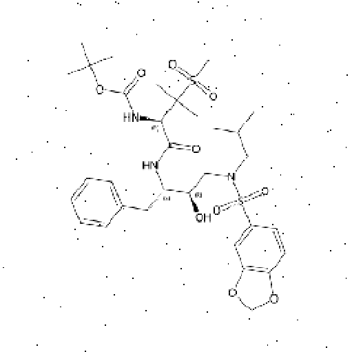 CC(C)CN(C[C@@H](O)[C@H](Cc1ccccc1)NC(=O)[C@@H](NC(=O)OC(C)(C)C)C(C)(C)S(C)(=O)=O)S(=O)(=O)c1ccc2c(c1)OCO2